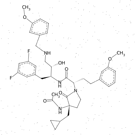 COc1cccc(CC[C@@H](C(=O)N[C@@H](Cc2cc(F)cc(F)c2)[C@@H](O)CNCc2cccc(OC)c2)N2CC[C@](CC3CC3)(NC(C)=O)C2=O)c1